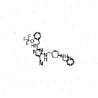 N#Cc1cnc(NCc2ccccc2OC(F)(F)F)nc1NCC1CCC(NCc2ccccn2)CC1